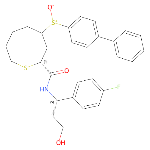 O=C(N[C@@H](CCO)c1ccc(F)cc1)[C@H]1CC([S+]([O-])c2ccc(-c3ccccc3)cc2)CCCCS1